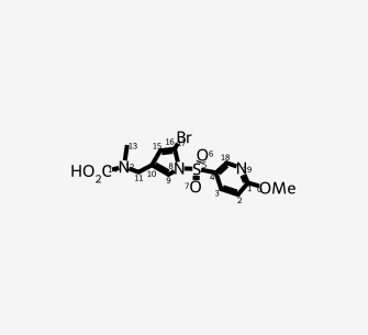 COc1ccc(S(=O)(=O)n2cc(CN(C)C(=O)O)cc2Br)cn1